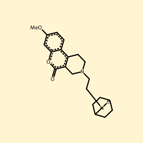 COc1ccc2c3c(c(=O)oc2c1)CN(CCN1CC2CCC(CC2)C1)CC3